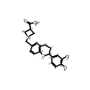 O=C(O)C1CN(Cc2ccc3c(c2)CCC(c2ccc(Cl)c(Cl)c2)O3)C1